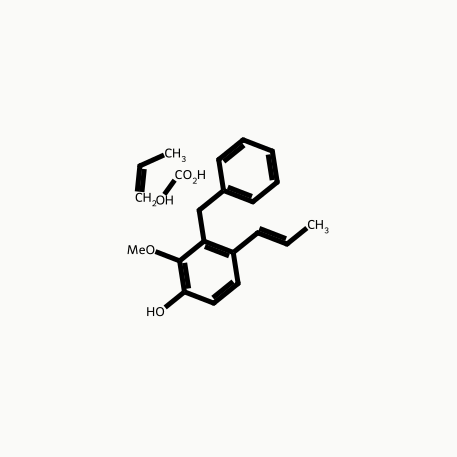 C=CC.CC=Cc1ccc(O)c(OC)c1Cc1ccccc1.O=C(O)O